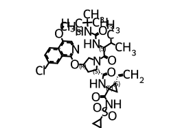 C=C[C@@H]1C[C@]1(NC(=O)[C@@H]1C[C@@H](Oc2ncc(OC)c3ccc(Cl)cc23)CN1C(=O)[C@@H](NC(=O)NC(C)(C)C)C(C)C)C(=O)NS(=O)(=O)C1CC1